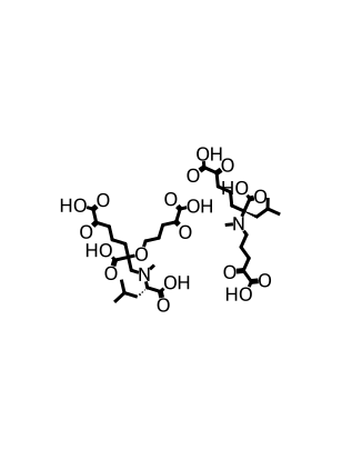 CC(C)C[C@@H](C(=O)O)N(C)CC(CCCC(=O)C(=O)O)(OCCCC(=O)C(=O)O)C(=O)O.CC(C)C[C@@](CCCC(=O)C(=O)O)(C(=O)O)N(C)CCCC(=O)C(=O)O